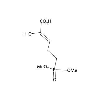 COP(=O)(CCC=C(C)C(=O)O)OC